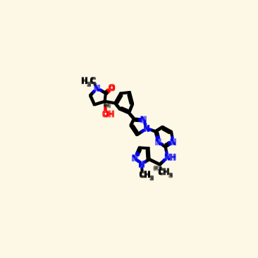 C[C@@H](Nc1nccc(-n2ccc(-c3cccc([C@]4(O)CCN(C)C4=O)c3)n2)n1)c1ccnn1C